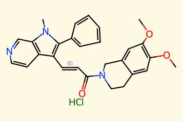 COc1cc2c(cc1OC)CN(C(=O)/C=C/c1c(-c3ccccc3)n(C)c3cnccc13)CC2.Cl